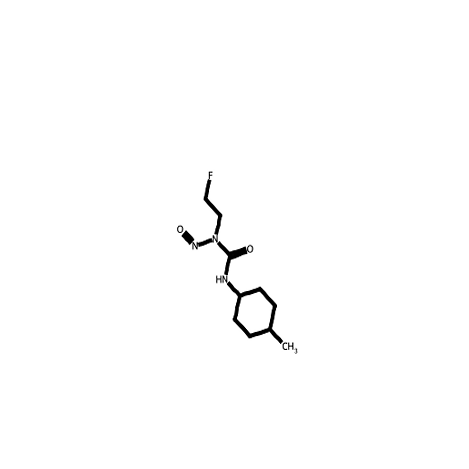 CC1CCC(NC(=O)N(CCF)N=O)CC1